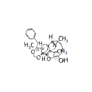 C=C1/C2=C(O)\C=C/CC[C@H]3N(C)CC[C@@]14[C@@H](O2)[C@@]12CC[C@@]34C[C@@H]1[C@](C)(Cc1ccccc1)OCO2